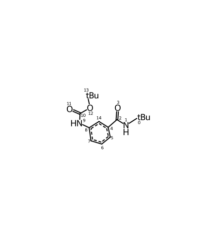 CC(C)(C)NC(=O)c1cccc(NC(=O)OC(C)(C)C)c1